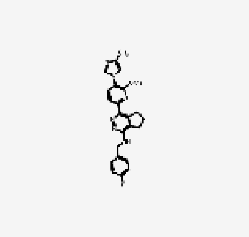 COc1nc(-c2nnc(NCc3ccc(F)cc3)c3c2CCC3)ccc1-n1cnc(C)c1